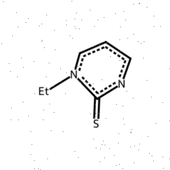 CCn1cccnc1=S